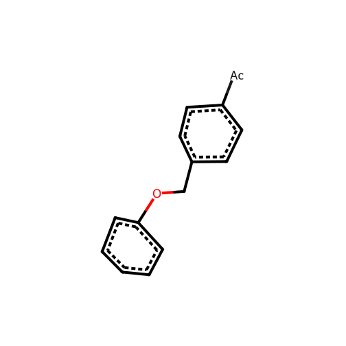 CC(=O)c1ccc(COc2ccccc2)cc1